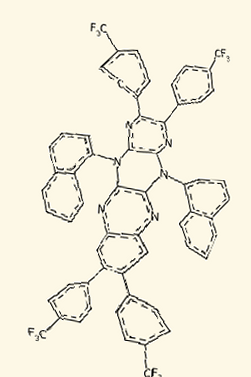 FC(F)(F)c1ccc(-c2cc3nc4c(nc3cc2-c2ccc(C(F)(F)F)cc2)N(c2cccc3ccccc23)c2nc(-c3ccc(C(F)(F)F)cc3)c(-c3ccc(C(F)(F)F)cc3)nc2N4c2cccc3ccccc23)cc1